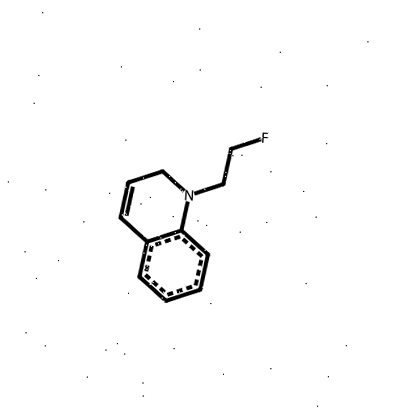 FCCN1CC=Cc2ccccc21